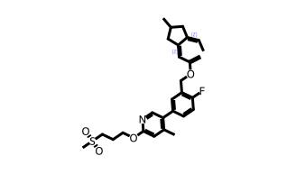 C=C(/C=C1/CC(C)C/C1=C/C)OCc1cc(-c2cnc(OCCCS(C)(=O)=O)cc2C)ccc1F